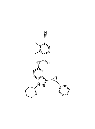 Cc1c(C#N)cnc(C(=O)Nc2ccc3c(c2)c(C2CC2c2ccccc2)nn3C2CCCCO2)c1C